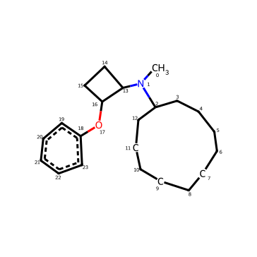 CN(C1CCCCCCCCCC1)C1CCC1Oc1ccccc1